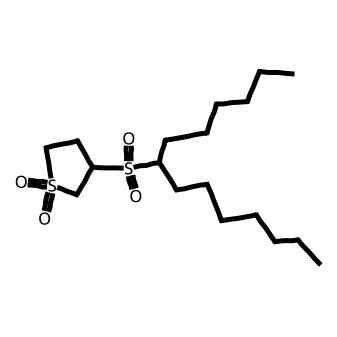 CCCCCCCC(CCCCCC)S(=O)(=O)C1CCS(=O)(=O)C1